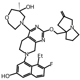 C=C1CN2CCCC2(COc2nc3c(c(N4CCOC[C@@](C)(O)C4)n2)CCN(c2cc(O)cc4ccc(F)c(CC)c24)C3)C1